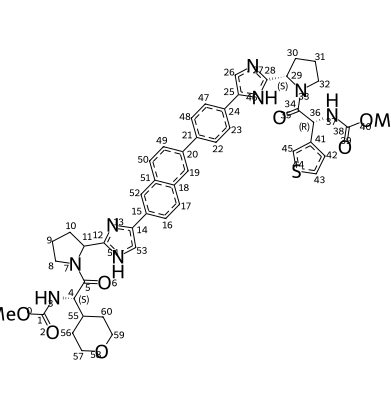 COC(=O)N[C@H](C(=O)N1CCCC1c1nc(-c2ccc3cc(-c4ccc(-c5cnc([C@@H]6CCCN6C(=O)[C@H](NC(=O)OC)c6ccsc6)[nH]5)cc4)ccc3c2)c[nH]1)C1CCOCC1